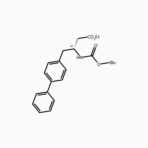 CCOC(=O)C[C@@H](Cc1ccc(-c2ccccc2)cc1)NC(=O)OC(C)(C)C